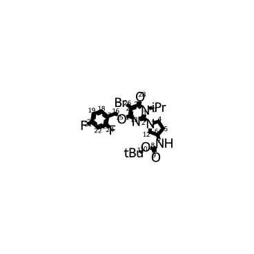 CC(C)n1c(N2CCC(NC(=O)OC(C)(C)C)C2)nc(OCc2ccc(F)cc2F)c(Br)c1=O